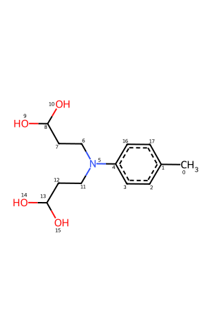 Cc1ccc(N(CCC(O)O)CCC(O)O)cc1